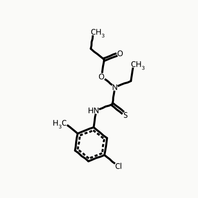 CCC(=O)ON(CC)C(=S)Nc1cc(Cl)ccc1C